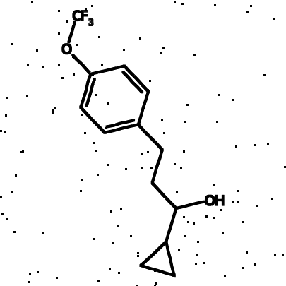 OC(CCc1ccc(OC(F)(F)F)cc1)C1CC1